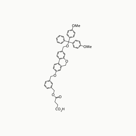 COc1ccc(C(OCc2ccc3c(c2)OCc2cc(OCc4cccc(COC(=O)CCC(=O)O)c4)ccc2-3)(c2ccccc2)c2ccc(OC)cc2)cc1